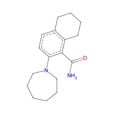 NC(=O)c1c(N2CCCCCC2)ccc2c1CCCC2